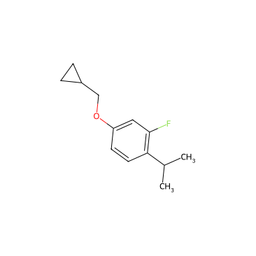 CC(C)c1ccc(OCC2CC2)cc1F